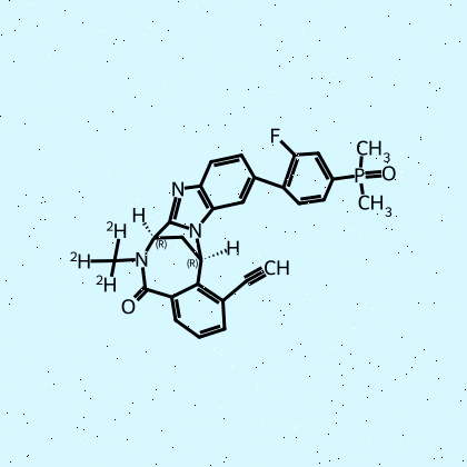 [2H]C([2H])([2H])N1C(=O)c2cccc(C#C)c2[C@H]2C[C@@H]1c1nc3ccc(-c4ccc(P(C)(C)=O)cc4F)cc3n12